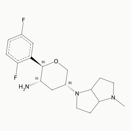 CN1CCC2C1CCN2[C@H]1CO[C@H](c2cc(F)ccc2F)[C@@H](N)C1